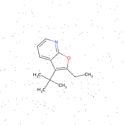 CCc1oc2ncccc2c1C(C)(C)C